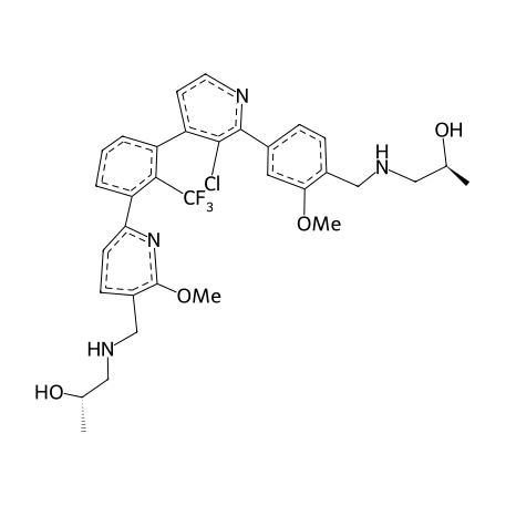 COc1cc(-c2nccc(-c3cccc(-c4ccc(CNC[C@H](C)O)c(OC)n4)c3C(F)(F)F)c2Cl)ccc1CNC[C@H](C)O